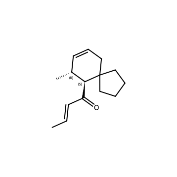 CC=CC(=O)[C@H]1[C@H](C)C=CCC12CCCC2